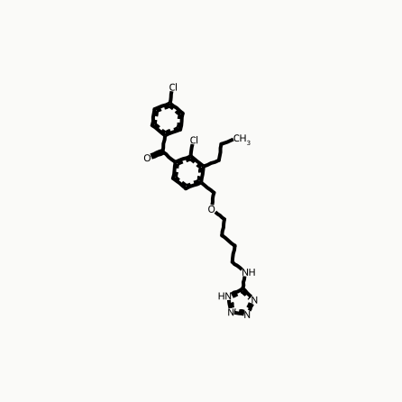 CCCc1c(COCCCCNc2nnn[nH]2)ccc(C(=O)c2ccc(Cl)cc2)c1Cl